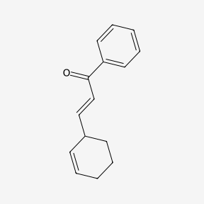 O=C(C=CC1C=CCCC1)c1ccccc1